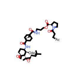 CO[C@H]1[C@H](C2(C)O[C@@H]2CC=C(C)C)[C@]2(CC[C@H]1NC(=O)C13CCC(C(=O)NCCCOC(=O)[C@H]4CCCN4C(=O)CCC(C)=O)(CC1)CC3)CO2